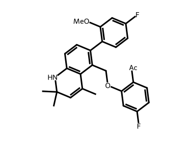 COc1cc(F)ccc1-c1ccc2c(c1COc1cc(F)ccc1C(C)=O)C(C)=CC(C)(C)N2